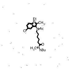 CCCCN(C)C(=O)CCCCCN(C(C)=O)c1c(C)n(CC)c2ccc(Cl)cc12